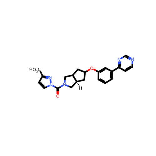 O=C(O)c1ccn(C(=O)N2CC3CC(Oc4cccc(-c5ccncn5)c4)C[C@H]3C2)n1